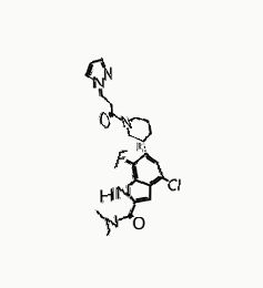 CN(C)C(=O)c1cc2c(Cl)cc([C@H]3CCCN(C(=O)CCn4cccn4)C3)c(F)c2[nH]1